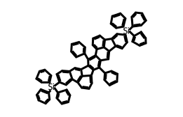 c1ccc(-c2c3cc4c5ccc([Si](c6ccccc6)(c6ccccc6)c6ccccc6)cc5c5cccc(c3c(-c3ccccc3)c3c6cc7ccc([Si](c8ccccc8)(c8ccccc8)c8ccccc8)cc7c7cccc(c23)c76)c54)cc1